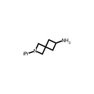 CC(C)N1CC2(CC(N)C2)C1